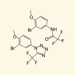 COc1ccc(-n2nnnc2C(F)(F)F)cc1Br.COc1ccc(NC(=O)C(F)(F)F)cc1Br